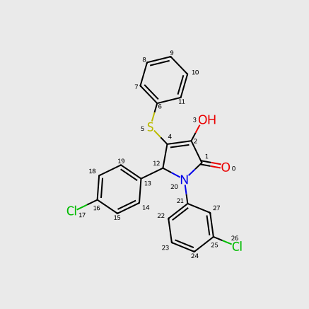 O=C1C(O)=C(Sc2ccccc2)C(c2ccc(Cl)cc2)N1c1cccc(Cl)c1